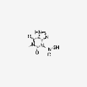 Cn1c(=O)c2[nH]cnc2n(C)c1=O.O=NS